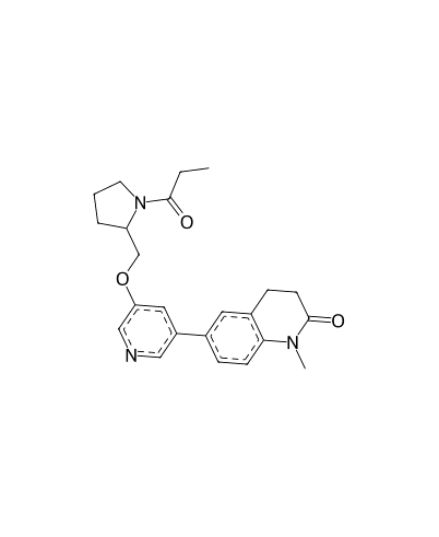 CCC(=O)N1CCCC1COc1cncc(-c2ccc3c(c2)CCC(=O)N3C)c1